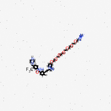 Cc1ccc(C(=O)Nc2ccc(CN3CCN(C)CC3)c(C(F)(F)F)c2)cc1C#Cc1cnc2cc(OCCOCCOCCOCCOCCOCCOCCN=[N+]=[N-])ccn12